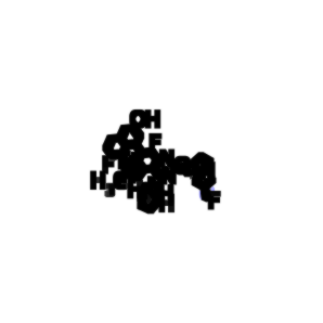 CCc1c(F)ccc2cc(O)cc(-c3c(F)c4nc(OC[C@@]56CCCN5C/C(=C\F)C6)nc(N5C[C@H]6CC[C@@H](C5)N6)c4c4cn(C)nc34)c12